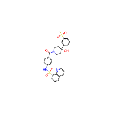 CS(=O)(=O)c1cccc(C2(O)CCN(C(=O)c3ccc(NS(=O)(=O)c4cccc5cccnc45)cc3)CC2)c1